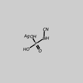 N#[C][BiH][P](=O)(O)O.[Ag]